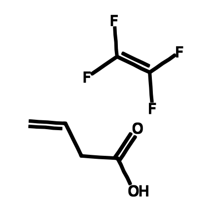 C=CCC(=O)O.FC(F)=C(F)F